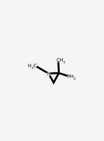 CN1CC1(C)P